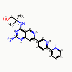 CCCC[C@](C)(CO)Nc1nc(N)nc2cc(-c3ccc(-c4ccccn4)nc3)ncc12